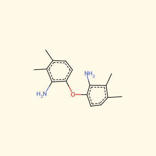 Cc1ccc(Oc2ccc(C)c(C)c2N)c(N)c1C